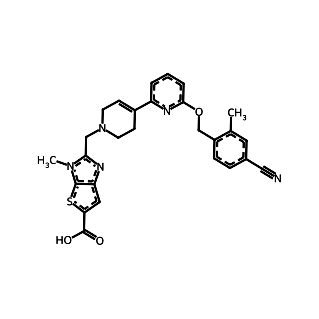 Cc1cc(C#N)ccc1COc1cccc(C2=CCN(Cc3nc4cc(C(=O)O)sc4n3C)CC2)n1